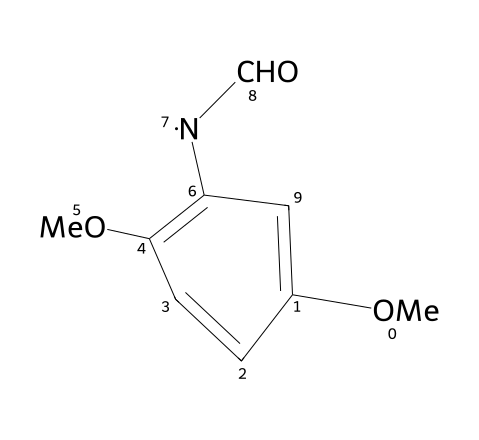 COc1ccc(OC)c([N]C=O)c1